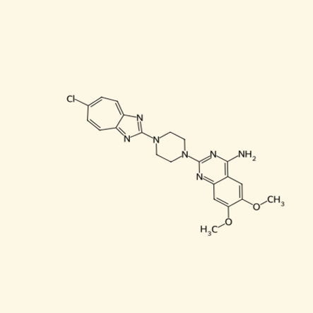 COc1cc2nc(N3CCN(c4nc5ccc(Cl)ccc-5n4)CC3)nc(N)c2cc1OC